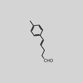 Cc1ccc(C=CCCC=O)cc1